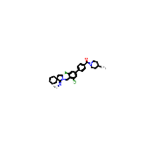 N#C/N=C1/N(Cc2c(Cl)cc(-c3ccc(C(=O)N4CCC(C(F)(F)F)CC4)cc3)cc2Cl)CCC12CCCCC2